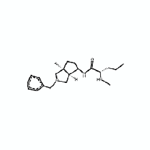 CCC[C@H](NC)C(=O)N[C@@H]1CC[C@@H]2CN(Cc3ccccc3)C[C@@H]21